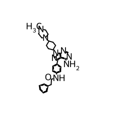 CN1CCN(C2CCC(n3nc(-c4ccc(NC(=O)Cc5ccccc5)cc4)c4c(N)ncnc43)CC2)CC1